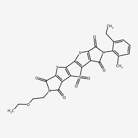 CCOCCN1C(=O)c2sc3c(c2C1=O)S(=O)(=O)c1c-3sc2c1C(=O)N(c1c(C)cccc1CC)C2=O